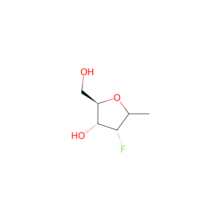 CC1O[C@H](CO)[C@@H](O)[C@H]1F